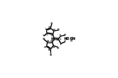 CC[SiH](CC)[Hf]([C]1=C(C)C=C(C)C1C)[C]1=C(C)C=C(C)C1C.Cl.Cl